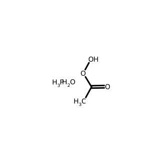 CC(=O)OO.O.P